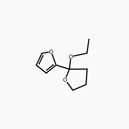 CCOC1(c2ccco2)CCCO1